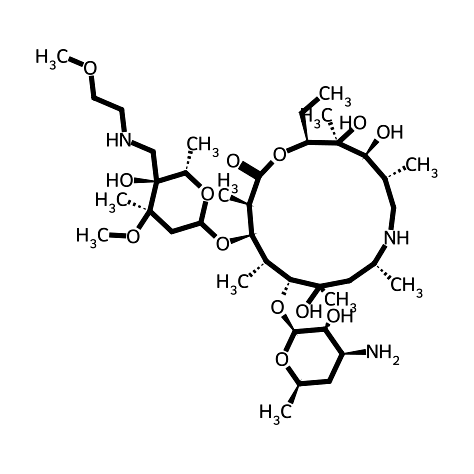 CC[C@@H]1OC(=O)[C@H](C)[C@H](OC2C[C@@](C)(OC)[C@](O)(CNCCOC)[C@H](C)O2)[C@@H](C)[C@@H](O[C@@H]2O[C@H](C)C[C@H](N)[C@H]2O)[C@](C)(O)C[C@@H](C)NC[C@@H](C)[C@H](O)[C@]1(C)O